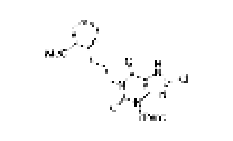 CCCCCn1c(=O)n(CCCc2ccccc2OC)c(=O)c2[nH]c(Cl)nc21